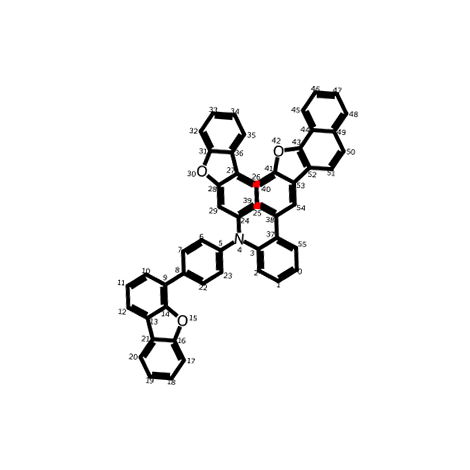 c1ccc(N(c2ccc(-c3cccc4c3oc3ccccc34)cc2)c2ccc3c(c2)oc2ccccc23)c(-c2ccc3oc4c5ccccc5ccc4c3c2)c1